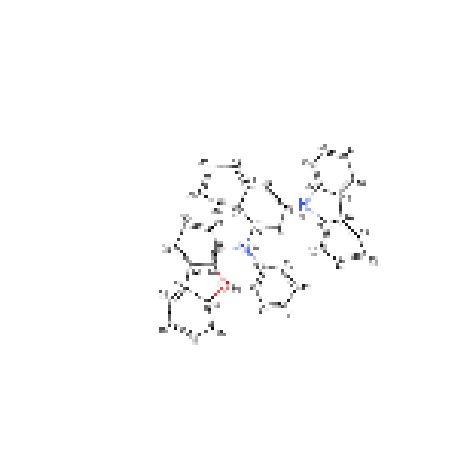 c1ccc(N(c2cc(-n3c4ccccc4c4ccccc43)cc3ccccc23)c2cccc3c2oc2ccccc23)cc1